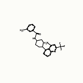 Cc1cccc(C(=O)NC2CCC(c3cccc4nc(C(F)(F)F)cc(N)c34)CC2)c1